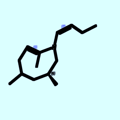 CC/C=C\N1C[C@@H](C)CC(C)C/C=C/1C